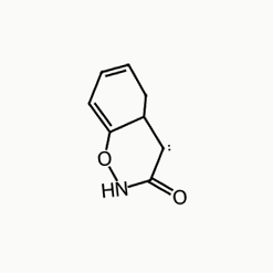 O=C1[C]C2CC=CC=C2ON1